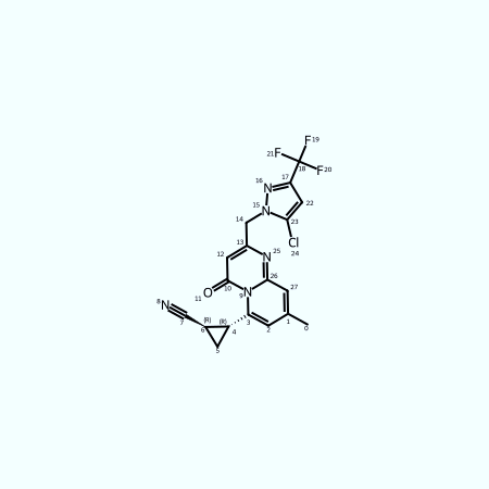 Cc1cc([C@@H]2C[C@H]2C#N)n2c(=O)cc(Cn3nc(C(F)(F)F)cc3Cl)nc2c1